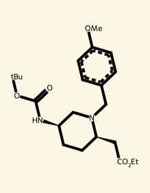 CCOC(=O)C[C@H]1CC[C@@H](NC(=O)OC(C)(C)C)CN1Cc1ccc(OC)cc1